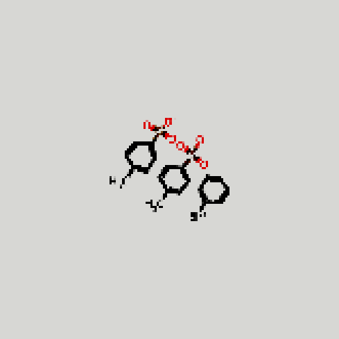 Cc1ccc(S(=O)(=O)[O-])cc1.Cc1ccc(S(=O)(=O)[O-])cc1.[Bi+2][c]1ccccc1